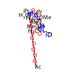 CC[C@H](C)[C@@H]([C@@H](CC(=O)N1CCC[C@H]1[C@H](OC)[C@H](C)C(=O)NCCc1ccccn1)OC)N(C)C(=O)[C@@H](NC(=O)[C@H](C(C)C)N(C)CCOCCOCCOCCOCCOCCOCCOCCOCCC(C)=O)C(C)C